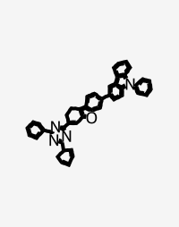 C1=CCC(c2nc(C3=Cc4oc5cc(-c6ccc7c(c6)c6ccccc6n7-c6ccccc6)ccc5c4CC3)nc(-c3ccccc3)n2)C=C1